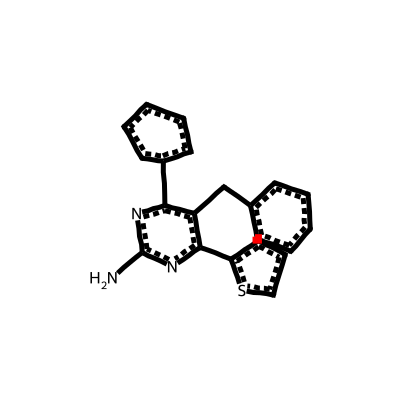 Nc1nc(-c2ccccc2)c(Cc2ccccc2)c(-c2cccs2)n1